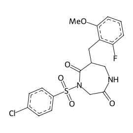 COc1cccc(F)c1CC1CNC(=O)CN(S(=O)(=O)c2ccc(Cl)cc2)C1=O